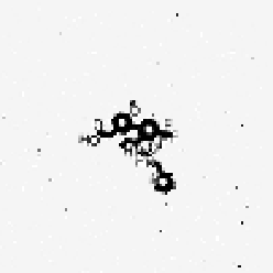 CCC(NC(=O)NCc1ccccn1)c1cc(C(F)(F)F)ccc1-c1cc(CC(=O)O)ccc1OC